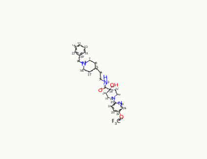 O=C(NCCC1CCN(Cc2ccccc2)CC1)C1(O)CCN(c2ccc(OC(F)(F)F)cn2)CC1